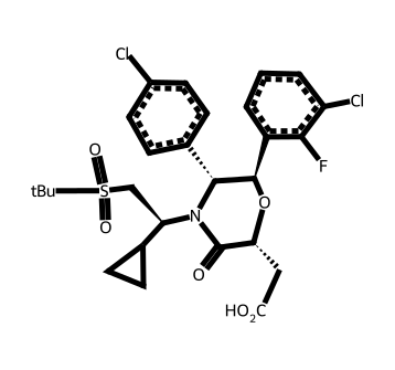 CC(C)(C)S(=O)(=O)C[C@H](C1CC1)N1C(=O)[C@@H](CC(=O)O)O[C@H](c2cccc(Cl)c2F)[C@H]1c1ccc(Cl)cc1